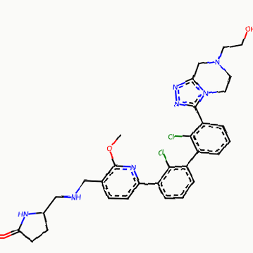 COc1nc(-c2cccc(-c3cccc(-c4nnc5n4CCN(CCO)C5)c3Cl)c2Cl)ccc1CNCC1CCC(=O)N1